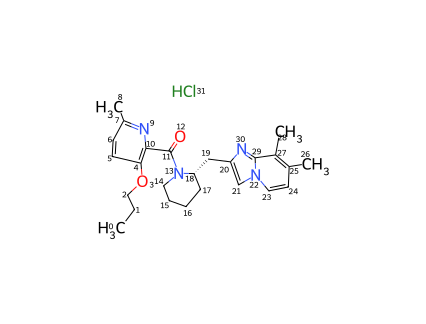 CCCOc1ccc(C)nc1C(=O)N1CCCC[C@H]1Cc1cn2ccc(C)c(C)c2n1.Cl